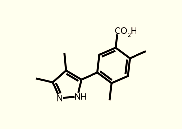 Cc1cc(C)c(-c2[nH]nc(C)c2C)cc1C(=O)O